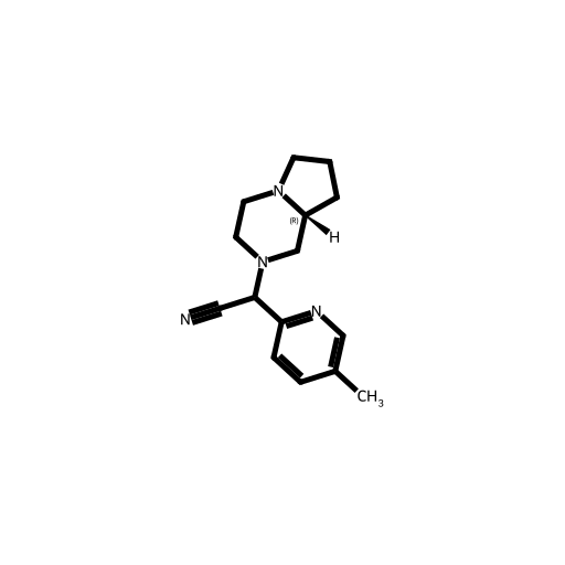 Cc1ccc(C(C#N)N2CCN3CCC[C@@H]3C2)nc1